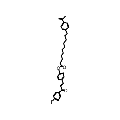 C=C(C)c1ccc(CCCCCCCCCCC(=O)Oc2ccc(C=CC(=O)c3ccc(F)cc3)cc2)cc1